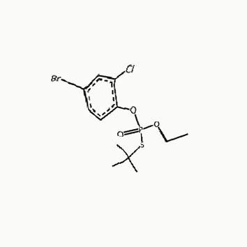 CCOP(=O)(Oc1ccc(Br)cc1Cl)SC(C)(C)C